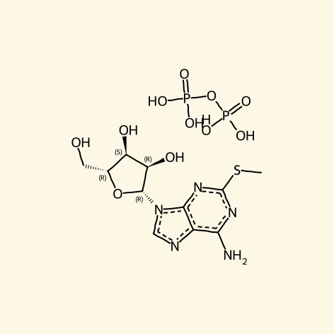 CSc1nc(N)c2ncn([C@@H]3O[C@H](CO)[C@@H](O)[C@H]3O)c2n1.O=P(O)(O)OP(=O)(O)O